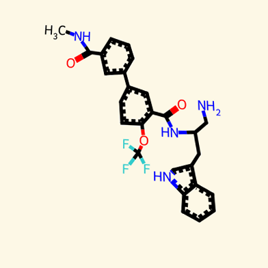 CNC(=O)c1cccc(-c2ccc(OC(F)(F)F)c(C(=O)NC(CN)Cc3c[nH]c4ccccc34)c2)c1